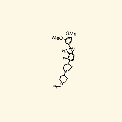 COc1ccc(-c2nc3ccc(C4CCN(C5CCN(CC(C)C)CC5)CC4)c(F)c3[nH]2)cc1OC